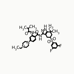 CCN1CCN(c2ccc(C(=O)Nc3n[nH]c4c3CC(S(=O)(=O)c3cc(F)cc(F)c3)CC4(C)C)c(NC(=O)C(C)C)c2)CC1